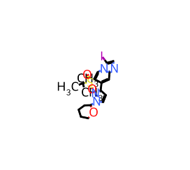 CC(C)(C)S(=O)(=O)c1cn2c(I)cnc2cc1-c1ccn(C2CCCCO2)n1